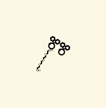 C1#CC(c2ccccc2)(c2ccccc2)CCCCC1.C1#CC(c2ccccc2)(c2ccccc2)CCCCC1.OCCOCCOCCOCCO